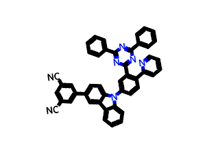 N#Cc1cc(C#N)cc(-c2ccc3c(c2)c2ccccc2n3-c2ccc(-c3ccccn3)c(-c3nc(-c4ccccc4)nc(-c4ccccc4)n3)c2)c1